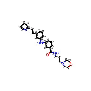 O=C(NCCCN1CCOCC1)c1cccc(Nc2cccc(/C=C/c3ccccn3)c2)c1